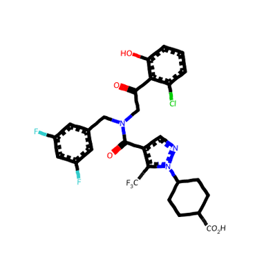 O=C(CN(Cc1cc(F)cc(F)c1)C(=O)c1cnn(C2CCC(C(=O)O)CC2)c1C(F)(F)F)c1c(O)cccc1Cl